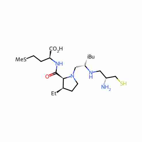 CC[C@@H]1CCN(C[C@@H](NC[C@@H](N)CS)[C@@H](C)CC)[C@@H]1C(=O)N[C@@H](CCSC)C(=O)O